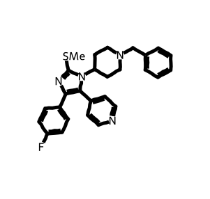 CSc1nc(-c2ccc(F)cc2)c(-c2ccncc2)n1C1CCN(Cc2ccccc2)CC1